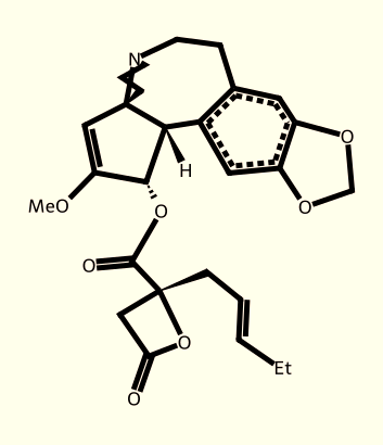 CC/C=C/C[C@]1(C(=O)O[C@@H]2C(OC)=C[C@]34CCCN3CCc3cc5c(cc3[C@H]24)OCO5)CC(=O)O1